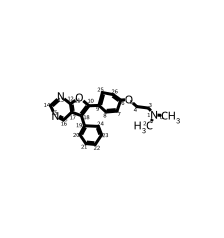 CN(C)CCOc1ccc(-c2oc3ncn[c]c3c2-c2ccccc2)cc1